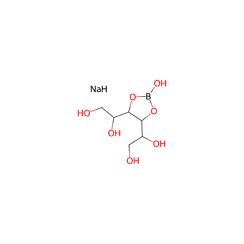 OCC(O)C1OB(O)OC1C(O)CO.[NaH]